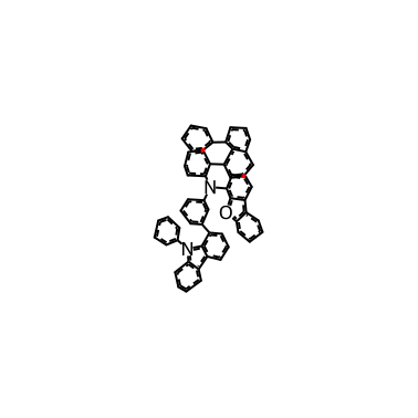 c1ccc(-c2cccc3cccc(-c4ccccc4N(c4cccc(-c5cccc6c7ccccc7n(-c7ccccc7)c56)c4)c4cccc5c4oc4ccccc45)c23)cc1